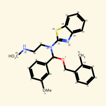 COc1cccc(C(OCc2ccccc2C)N(CCNC(=O)O)c2nc3ccccc3s2)c1